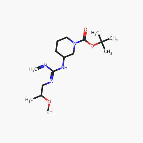 C=N/C(=N\CC(C)OC)NC1CCCN(C(=O)OC(C)(C)C)C1